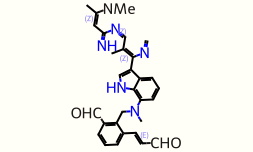 C=N/C(=C(C)\C=N/C(=N)/C=C(/C)NC)c1c[nH]c2c(N(C)Cc3c(C=O)cccc3/C=C/C=O)cccc12